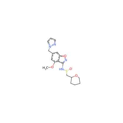 COc1cc(Cn2cccn2)cc2onc(N[S+]([O-])CC3CCCCO3)c12